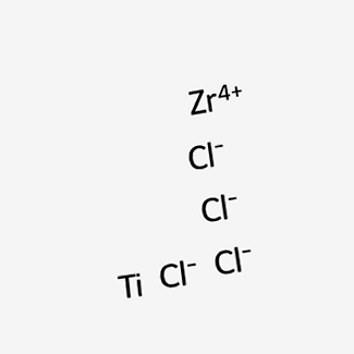 [Cl-].[Cl-].[Cl-].[Cl-].[Ti].[Zr+4]